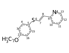 COc1ccc(S/C=C/c2ccccn2)cc1